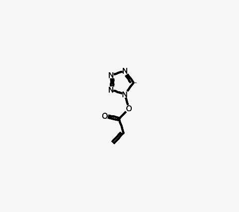 C=CC(=O)On1[c]nnn1